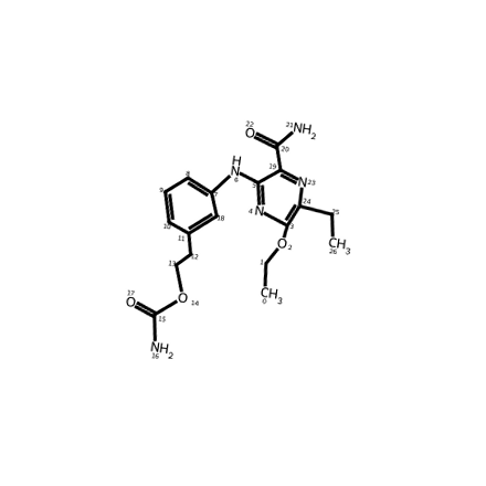 CCOc1nc(Nc2cccc(CCOC(N)=O)c2)c(C(N)=O)nc1CC